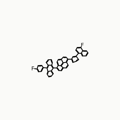 Fc1ccc(-c2c3ccccc3c(-c3ccc4ccc5c(-c6cccc(-c7ccc(F)c8ccccc78)c6)ccc6ccc3c4c65)c3ccccc23)cc1